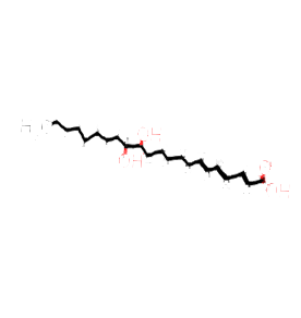 CCCCCCCCC(O)C(O)CCCCCC=CC=CC=CC(=O)O